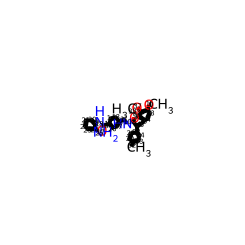 COc1ccc(C=C(C(=O)NCc2ccc(C(=O)Nc3ccccc3N)cc2)c2ccc(C)cc2)cc1OC